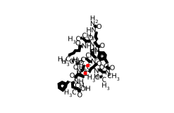 CCCCCC(=O)N[C@H](C(=O)N[C@@H](CCCNC(N)=O)C(=O)Nc1ccc(COC(=O)N(C)[C@@H](C(=O)N[C@H](C(=O)N(CCC)[C@H](C[C@@H](OC(=O)NC)c2nc(C(=O)N[C@@H](Cc3ccccc3)CC(C)(C)C(=O)O)cs2)C(C)C)[C@@H](C)CC)C(C)C)cc1)C(C)C